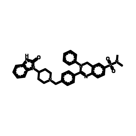 CN(C)S(=O)(=O)c1ccc2c(c1)CN(c1ccccc1)C(c1ccc(CN3CCC(n4c(=O)[nH]c5ccccc54)CC3)cc1)=N2